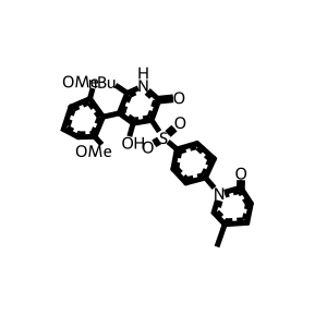 CCCCc1[nH]c(=O)c(S(=O)(=O)c2ccc(-n3cc(C)ccc3=O)cc2)c(O)c1-c1c(OC)cccc1OC